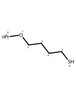 CCCOCCCCS